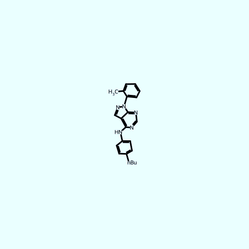 CCCCc1ccc(Nc2ncnc3c2cnn3-c2ccccc2C)cc1